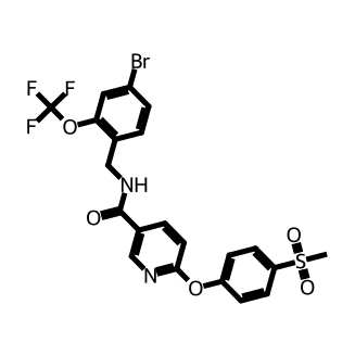 CS(=O)(=O)c1ccc(Oc2ccc(C(=O)NCc3ccc(Br)cc3OC(F)(F)F)cn2)cc1